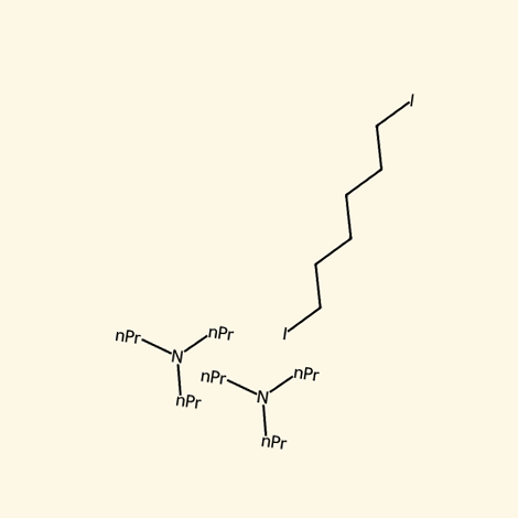 CCCN(CCC)CCC.CCCN(CCC)CCC.ICCCCCCI